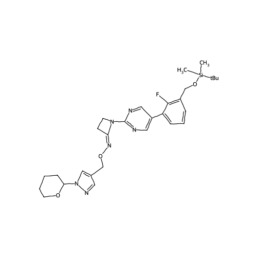 CC(C)(C)[Si](C)(C)OCc1cccc(-c2cnc(N3CCC3=NOCc3cnn(C4CCCCO4)c3)nc2)c1F